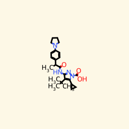 CC(C(=O)Nc1nn(C(=O)O)c(C2CC2)c1C(C)(C)C)c1ccc(N2CCCC2)cc1